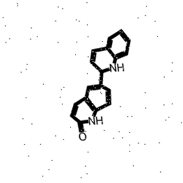 O=c1ccc2cc(C3C=Cc4ccccc4N3)ccc2[nH]1